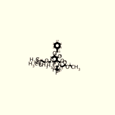 CCOC(=O)CN(C(=O)c1cn(COCC[Si](C)(C)C)cc(OCc2ccccc2)c1=O)[C@H](C)C(F)(F)F